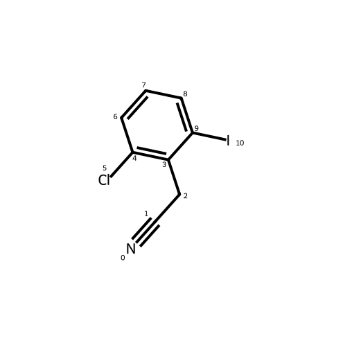 N#CCc1c(Cl)cccc1I